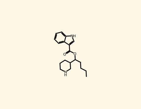 CCCCC(OC(=O)c1c[nH]c2ccccc12)C1CCCNC1